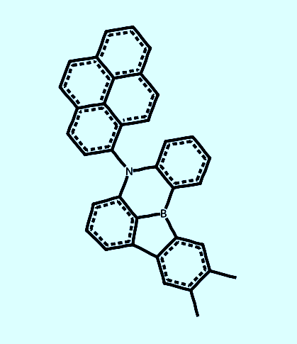 Cc1cc2c(cc1C)-c1cccc3c1B2c1ccccc1N3c1ccc2ccc3cccc4ccc1c2c34